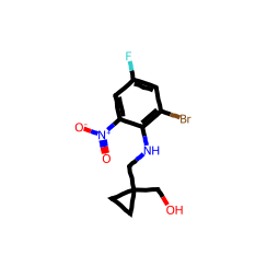 O=[N+]([O-])c1cc(F)cc(Br)c1NCC1(CO)CC1